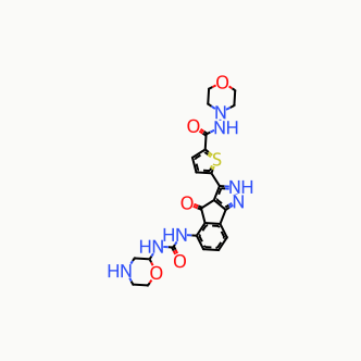 O=C(Nc1cccc2c1C(=O)c1c-2n[nH]c1-c1ccc(C(=O)NN2CCOCC2)s1)NC1CNCCO1